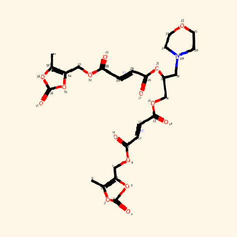 Cc1oc(=O)oc1COC(=O)/C=C/C(=O)OCC(CN1CCOCC1)OC(=O)/C=C/C(=O)OCc1oc(=O)oc1C